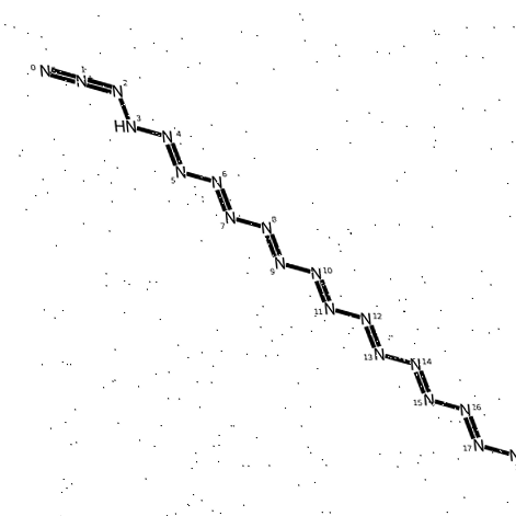 [N-]=[N+]=NN/N=N/N=N/N=N/N=N/N=N/N=N/N=N/N